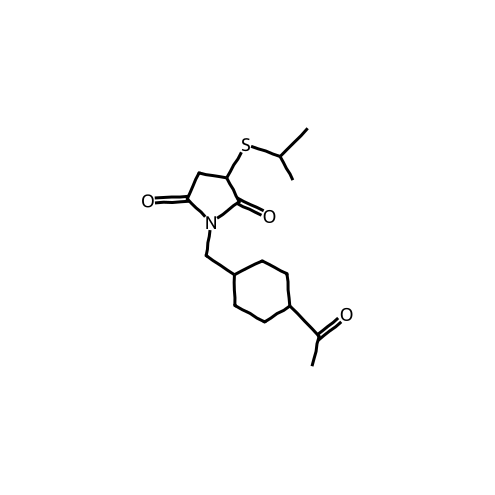 CC(=O)C1CCC(CN2C(=O)CC(SC(C)C)C2=O)CC1